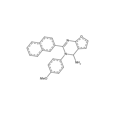 COc1ccc(N2C(c3ccc4ccccc4c3)=Nc3occc3C2N)cc1